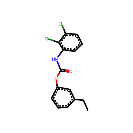 CCc1cccc(OC(=O)Nc2cccc(Cl)c2Cl)c1